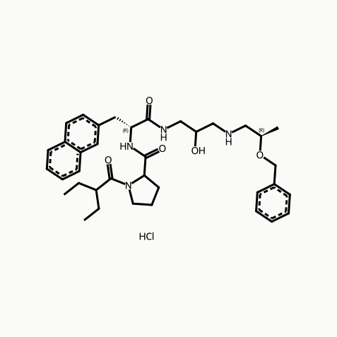 CCC(CC)C(=O)N1CCCC1C(=O)N[C@H](Cc1ccc2ccccc2c1)C(=O)NCC(O)CNC[C@@H](C)OCc1ccccc1.Cl